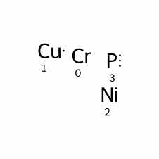 [Cr].[Cu].[Ni].[P]